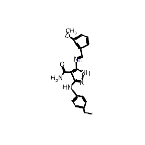 COc1cccc(/C=N/c2[nH]nc(Nc3ccc(CI)cc3)c2C(N)=O)c1